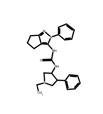 CCN1CC(NC(=O)Nc2c3c(nn2-c2ccccc2)CCC3)C(c2ccccc2)C1